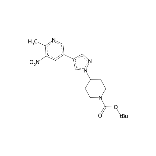 Cc1ncc(-c2cnn(C3CCN(C(=O)OC(C)(C)C)CC3)c2)cc1[N+](=O)[O-]